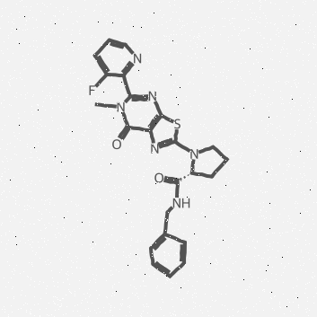 Cn1c(-c2ncccc2F)nc2sc(N3CCC[C@@H]3C(=O)NCc3ccccc3)nc2c1=O